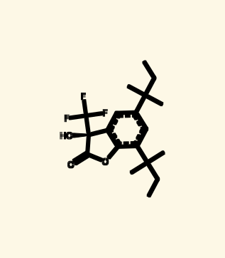 CCC(C)(C)c1cc(C(C)(C)CC)c2c(c1)[C@@](O)(C(F)(F)F)C(=O)O2